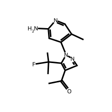 CC(=O)c1cnn(-c2cc(N)ncc2C)c1C(C)(C)F